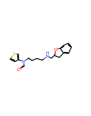 O=CN(CCCCNCC1Cc2ccccc2O1)c1ccsc1